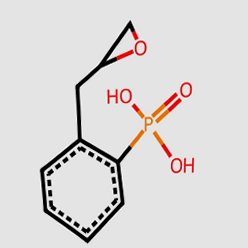 O=P(O)(O)c1ccccc1CC1CO1